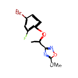 COc1nc(C(C)Oc2ccc(Br)cc2F)no1